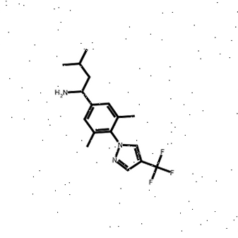 Cc1cc(C(N)CC(C)C)cc(C)c1-n1cc(C(F)(F)F)cn1